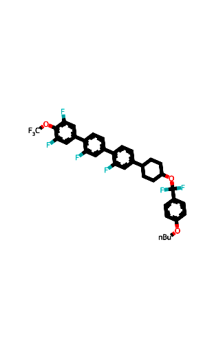 CCCCOc1ccc(C(F)(F)OC2CCC(c3ccc(-c4ccc(-c5cc(F)c(OC(F)(F)F)c(F)c5)c(F)c4)c(F)c3)CC2)cc1